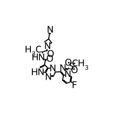 C[C@@H](NC(=O)c1c[nH]c2ncc(-c3nc(S(C)(=O)=O)n4cc(F)ccc34)nc12)C(=O)N1CC(C#N)C1